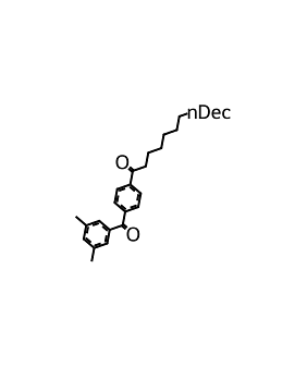 CCCCCCCCCCCCCCCCC(=O)c1ccc(C(=O)c2cc(C)cc(C)c2)cc1